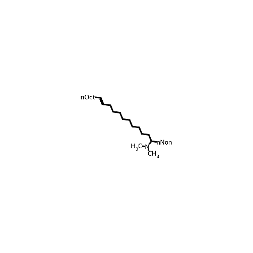 CCCCCCCC/C=C/CCCCCCCCCC(CCCCCCCCC)N(C)C